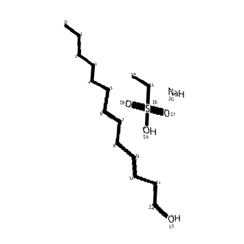 CCCCCCCCCCCCCO.CCS(=O)(=O)O.[NaH]